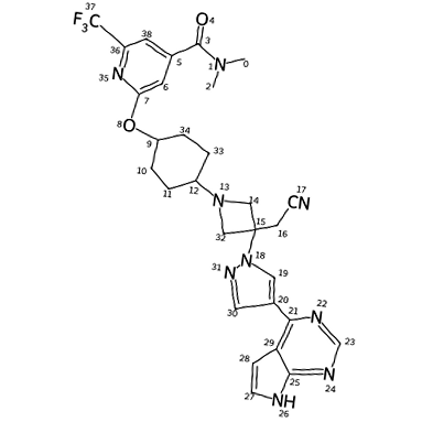 CN(C)C(=O)c1cc(OC2CCC(N3CC(CC#N)(n4cc(-c5ncnc6[nH]ccc56)cn4)C3)CC2)nc(C(F)(F)F)c1